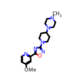 COc1ccnc(-c2nc(N3CCC(N4CCN(C)CC4)CC3)no2)c1